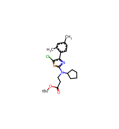 Cc1ccc(-c2nc(N(CCC(=O)OC(C)(C)C)C3CCCC3)sc2Cl)c(C)c1